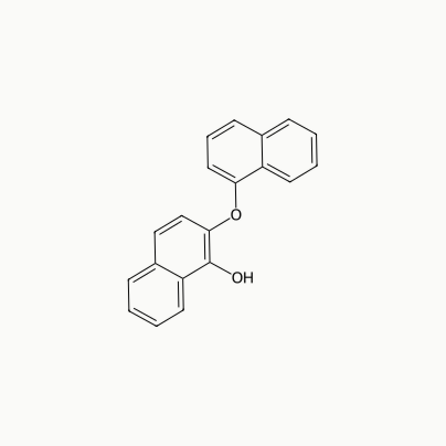 Oc1c(Oc2cccc3ccccc23)ccc2ccccc12